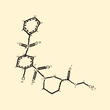 CCOC(=O)C1CCCN(S(=O)(=O)c2cc(S(=O)(=O)c3ccccc3)ccc2Cl)C1